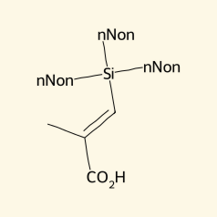 CCCCCCCCC[Si](C=C(C)C(=O)O)(CCCCCCCCC)CCCCCCCCC